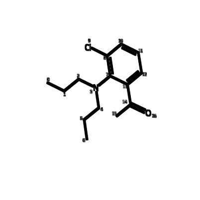 CCCN(CCC)c1c(Cl)cccc1C(C)=O